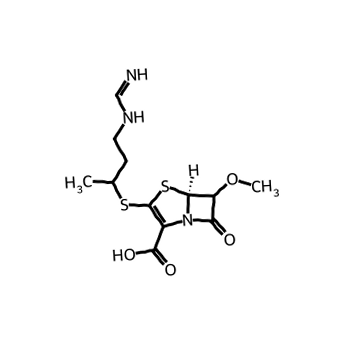 COC1C(=O)N2C(C(=O)O)=C(SC(C)CCNC=N)S[C@@H]12